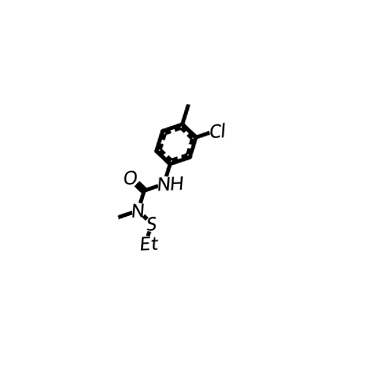 CCSN(C)C(=O)Nc1ccc(C)c(Cl)c1